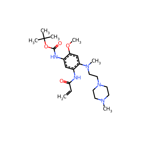 C=CC(=O)Nc1cc(NC(=O)OC(C)(C)C)c(OC)cc1N(C)CCN1CCN(C)CC1